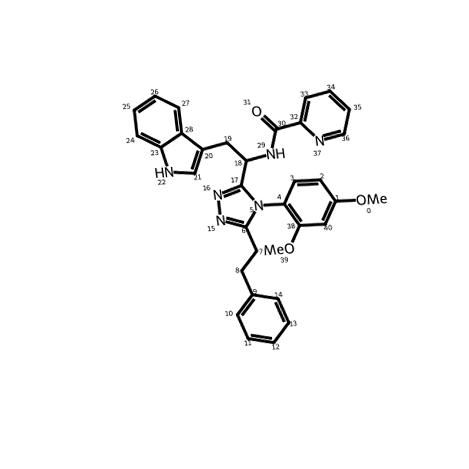 COc1ccc(-n2c(CCc3ccccc3)nnc2C(Cc2c[nH]c3ccccc23)NC(=O)c2ccccn2)c(OC)c1